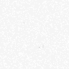 COC1(c2cc(N)cc(C(C)(C)C)c2)CC1